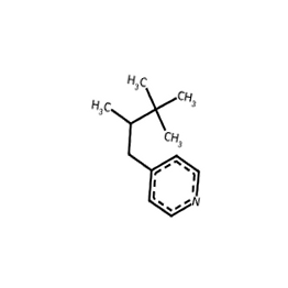 CC(Cc1ccncc1)C(C)(C)C